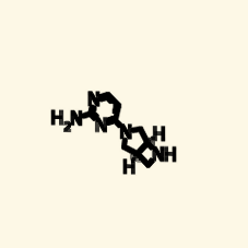 Nc1nccc(N2C[C@@H]3CN[C@@H]3C2)n1